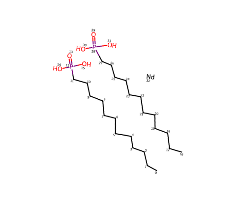 CCCCCCCCCCCCP(=O)(O)O.CCCCCCCCCCCCP(=O)(O)O.[Nd]